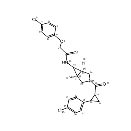 O=C(COc1ccc(Cl)cc1)NC1[C@H]2CN(C(=O)C3CC3c3ccc(Cl)cc3)C[C@@H]12